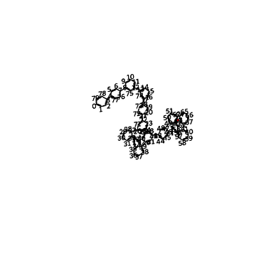 c1ccc(-c2ccc(-c3cccc(-c4cccc(-c5ccc(-c6cccc(-c7ccccc7-n7c8ccccc8c8cc(-c9ccc%10c(c9)c9ccccc9n%10-c9ccccc9-c9ccccc9)ccc87)c6)cc5)c4)c3)cc2)cc1